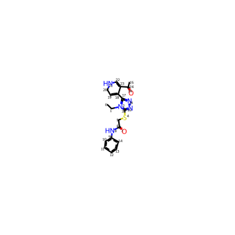 CCn1c(SCC(=O)Nc2ccccc2)nnc1C1=CCNC=C1C(C)=O